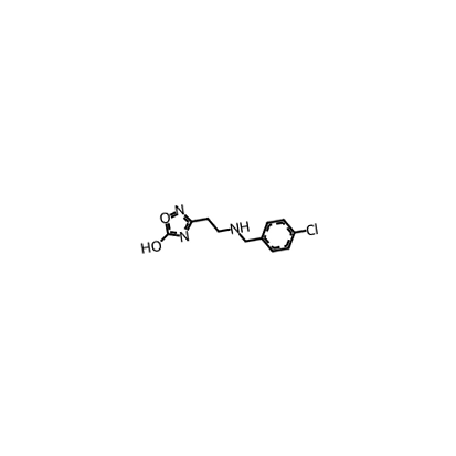 Oc1nc(CCNCc2ccc(Cl)cc2)no1